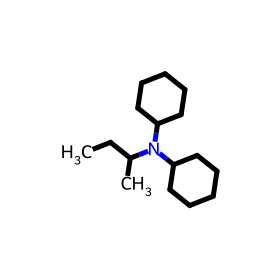 CCC(C)N(C1CCCCC1)C1CCCCC1